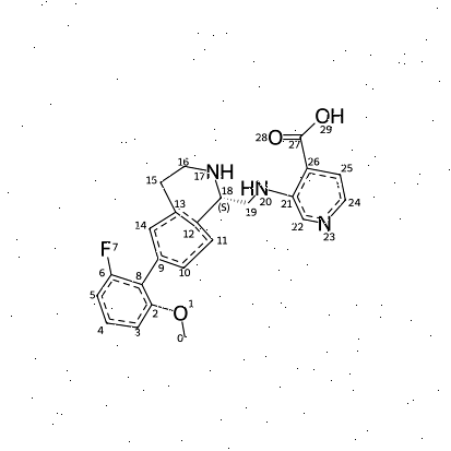 COc1cccc(F)c1-c1ccc2c(c1)CCN[C@@H]2CNc1cnccc1C(=O)O